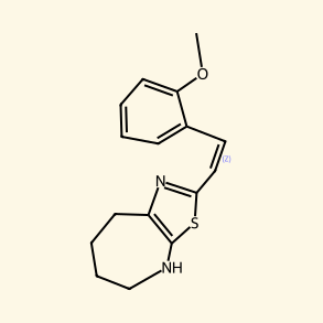 COc1ccccc1/C=C\c1nc2c(s1)NCCCC2